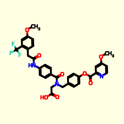 COc1ccnc(C(=O)Oc2ccc(CN(CC(=O)O)C(=O)c3ccc(NC(=O)Cc4ccc(OC)cc4C(F)(F)F)cc3)cc2)c1